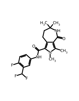 Cc1c2c(c(C(=O)Nc3ccc(F)c(C(F)F)c3)n1C)CCC(C)(C)NC2=O